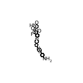 Nc1ccc(N2CCN(C3CCC4(CCN(c5ccc6c(=O)n(C7CCC(=O)NC7=O)nc(F)c6c5)CC4)C3)CC2)cc1